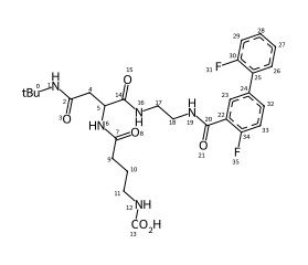 CC(C)(C)NC(=O)CC(NC(=O)CCCNC(=O)O)C(=O)NCCNC(=O)c1cc(-c2ccccc2F)ccc1F